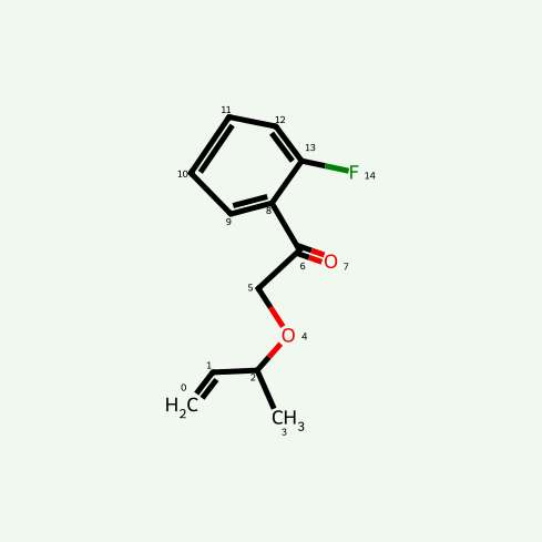 C=CC(C)OCC(=O)c1ccccc1F